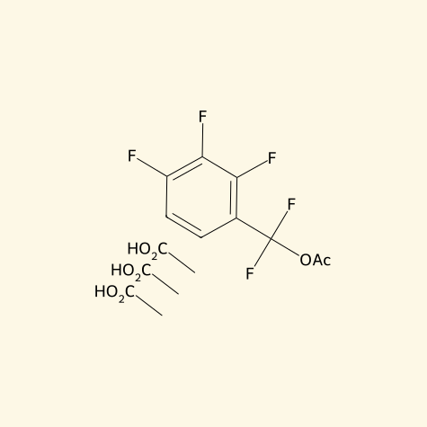 CC(=O)O.CC(=O)O.CC(=O)O.CC(=O)OC(F)(F)c1ccc(F)c(F)c1F